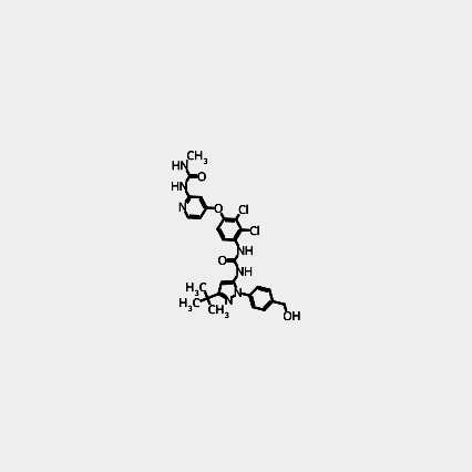 CNC(=O)Nc1cc(Oc2ccc(NC(=O)Nc3cc(C(C)(C)C)nn3-c3ccc(CO)cc3)c(Cl)c2Cl)ccn1